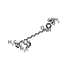 Cn1ccnc1CN(CCCCCCCCCCC(=O)Nc1ccc(S(N)(=O)=O)cc1)Cc1nccn1C